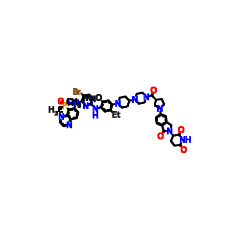 CCc1cc(Nc2ncc(Br)c(Nc3ccc4nccnc4c3P(C)(C)=O)n2)c(OC)cc1N1CCC(N2CCN(C(=O)[C@H]3CCN(c4ccc5c(c4)CN(C4CCC(=O)NC4=O)C5=O)C3)CC2)CC1